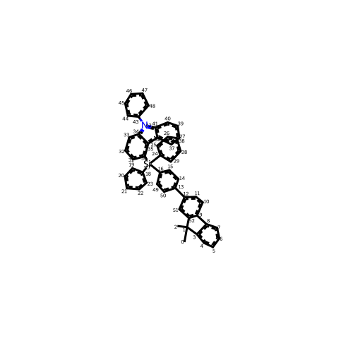 CC1(C)c2ccccc2-c2ccc(-c3ccc([Si](c4ccccc4)(c4ccccc4)c4cccc5c4c4ccccc4n5-c4ccccc4)cc3)cc21